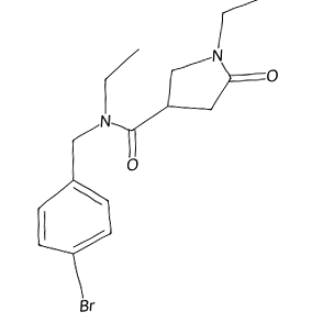 CCN1CC(C(=O)N(CC)Cc2ccc(Br)cc2)CC1=O